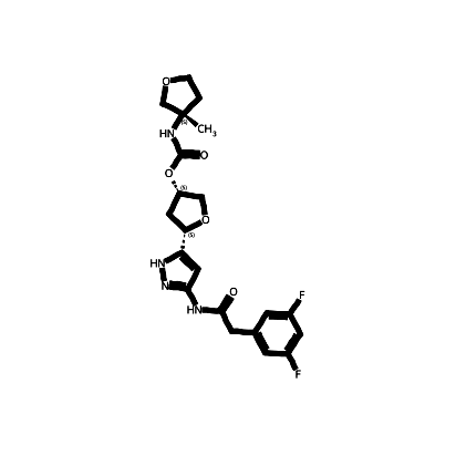 C[C@]1(NC(=O)O[C@@H]2CO[C@H](c3cc(NC(=O)Cc4cc(F)cc(F)c4)n[nH]3)C2)CCOC1